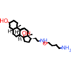 C[C@]12CC[C@H](O)C[C@H]1CC[C@@H]1[C@@H]2CC[C@]2(C)[C@@H](CCNOCCCCN)CC[C@]12O